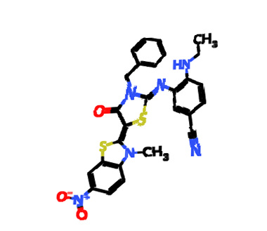 CCNc1ccc(C#N)cc1N=C1SC(=C2Sc3cc([N+](=O)[O-])ccc3N2C)C(=O)N1Cc1ccccc1